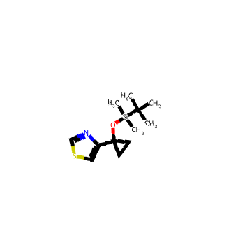 CC(C)(C)[Si](C)(C)OC1(c2cs[c]n2)CC1